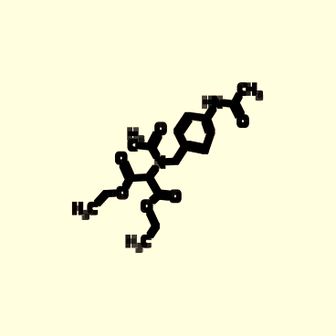 CCOC(=O)C(C(=O)OCC)N(Cc1ccc(NC(C)=O)cc1)C(C)=O